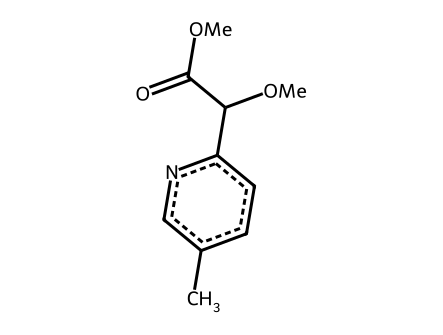 COC(=O)C(OC)c1ccc(C)cn1